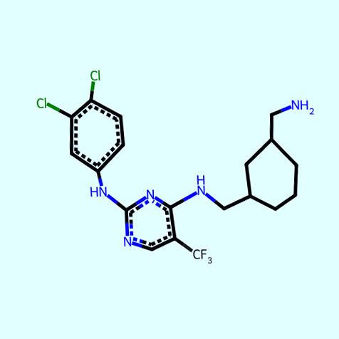 NCC1CCCC(CNc2nc(Nc3ccc(Cl)c(Cl)c3)ncc2C(F)(F)F)C1